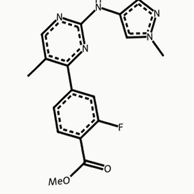 COC(=O)c1ccc(-c2nc(Nc3cnn(C)c3)ncc2C)cc1F